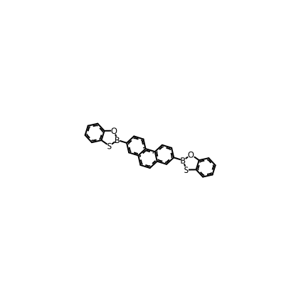 c1ccc2c(c1)OB(c1ccc3c(ccc4cc(B5Oc6ccccc6S5)ccc43)c1)S2